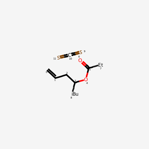 C=CCC(OC(=O)CC)C(C)CC.S=C=S